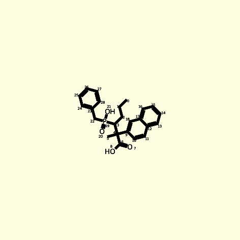 CCCC(C(C)(C(=O)O)c1ccc2ccccc2c1)P(=O)(O)Cc1ccccc1